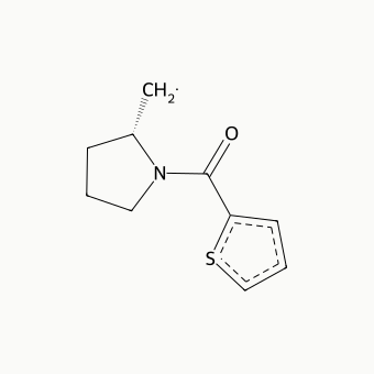 [CH2][C@H]1CCCN1C(=O)c1cccs1